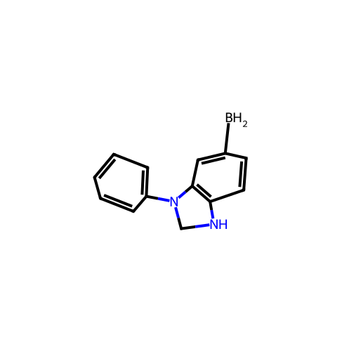 Bc1ccc2c(c1)N(c1ccccc1)CN2